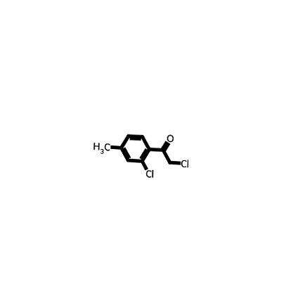 Cc1ccc(C(=O)CCl)c(Cl)c1